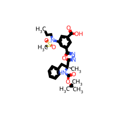 CCCN(c1cc(C(=O)O)cc(-c2nnc([C@](C)(Cc3ccccc3)NC(=O)OC(C)(C)C)o2)c1)S(C)(=O)=O